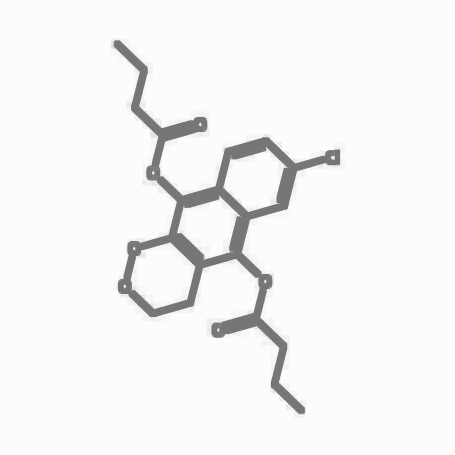 CCCC(=O)Oc1c2c(c(OC(=O)CCC)c3ccc(Cl)cc13)OOCC2